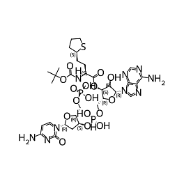 CC(C)(C)OC(=O)N[C@@H](CC[C@H]1CCCS1)C(=O)O[C@H]1[C@@H](O)[C@H](n2cnc3c(N)ncnc32)O[C@@H]1CO[PH](O)(O)O[C@H]1C[C@H](n2ccc(N)nc2=O)O[C@@H]1COP(=O)(O)O